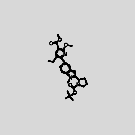 CCc1cc(C(=O)OC)c(OC)nc1-c1ccc2c(c1)cc(C1CCCN1C(=O)OC(C)(C)C)n2C